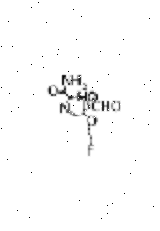 NC(=O)c1cnc(OCCF)cn1.O=CO